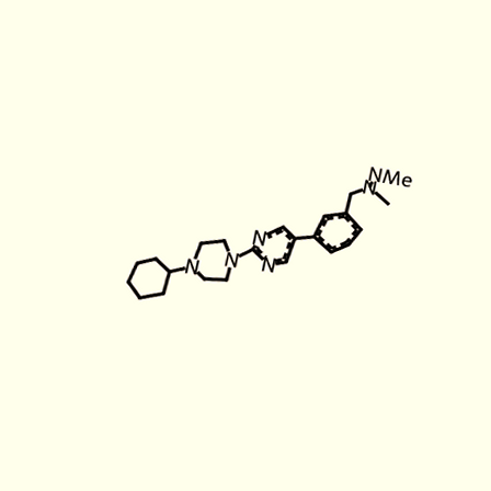 CNN(C)Cc1cccc(-c2cnc(N3CCN(C4CCCCC4)CC3)nc2)c1